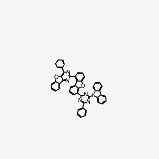 C1=CC(c2nc(-c3cccc4oc5c(-c6nc(-c7ccccc7)nc(-n7c8ccccc8c8ccccc87)n6)cccc5c34)nc3c2oc2ccccc23)=CCC1